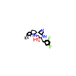 CCc1ccc2c(c1)C(NCC(O)C(Cc1cc(F)cc(F)c1)Nc1cccnc1)CCC2